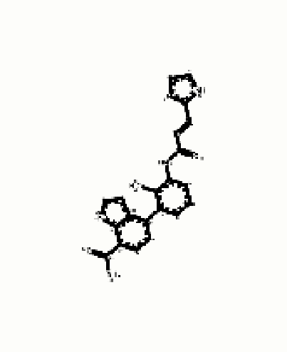 Cc1c(NC(=O)/C=C/c2ncc[nH]2)cccc1-c1ccc(C(N)=O)c2[nH]ccc12